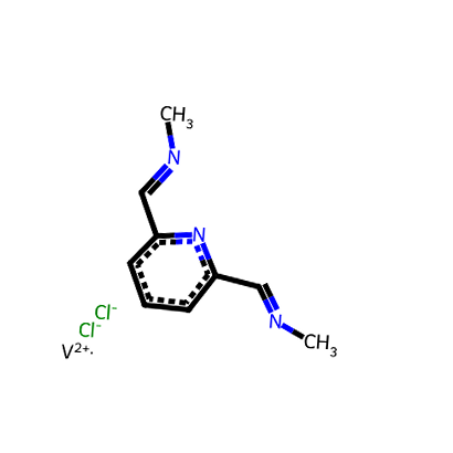 CN=Cc1cccc(C=NC)n1.[Cl-].[Cl-].[V+2]